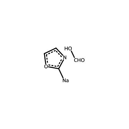 O=CO.[Na][c]1ncco1